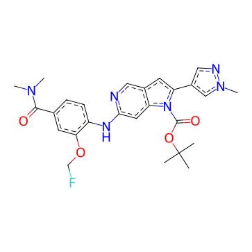 CN(C)C(=O)c1ccc(Nc2cc3c(cn2)cc(-c2cnn(C)c2)n3C(=O)OC(C)(C)C)c(OCF)c1